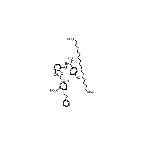 CCCCCCCCCCCCCCCCCCCCCCCCCCC(=O)O.Cc1cccc(Cl)c1OCC(=O)O.O=C(O)C(Br)C(Br)c1ccc([N+](=O)[O-])cc1.O=C(O)c1ccccc1CSc1ccccc1